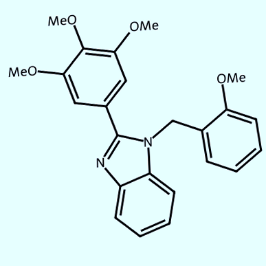 COc1ccccc1Cn1c(-c2cc(OC)c(OC)c(OC)c2)nc2ccccc21